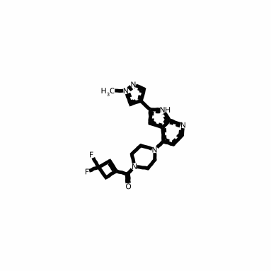 Cn1cc(-c2cc3c(N4CCN(C(=O)C5=CC(F)(F)C5)CC4)ccnc3[nH]2)cn1